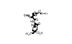 C=CC1(C(=O)O)CS[C@@H]2C(NC(=O)C(=NOCC)c3csc(NC=O)n3)C(=O)N2C1